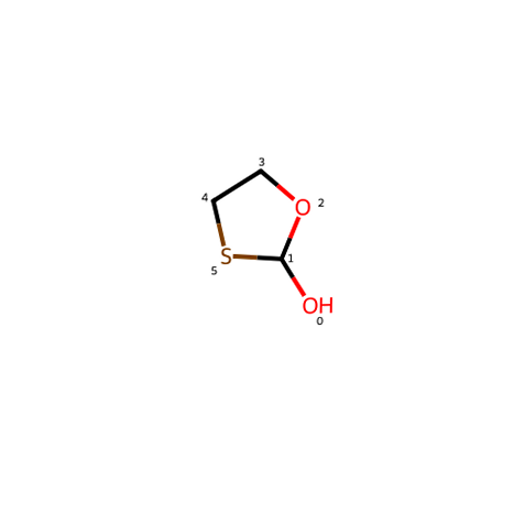 OC1OCCS1